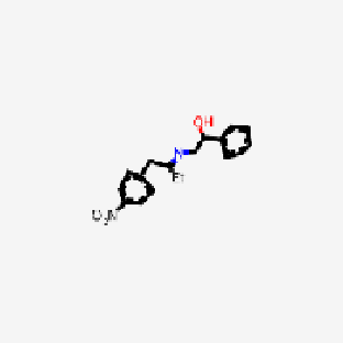 CC/C(Cc1ccc([N+](=O)[O-])cc1)=N\CC(O)c1ccccc1